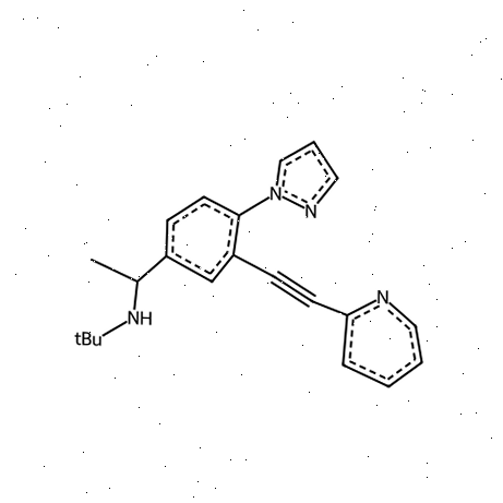 CC(NC(C)(C)C)c1ccc(-n2cccn2)c(C#Cc2ccccn2)c1